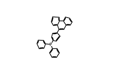 c1ccc(P(c2ccccc2)c2ccc(-c3cc4ccccc4c4ccccc34)cc2)cc1